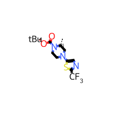 C[C@@H]1CN(c2cnc(C(F)(F)F)s2)CCN1C(=O)OC(C)(C)C